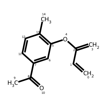 C=CC(=C)Oc1cc(C(C)=O)ccc1C